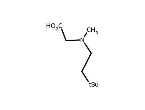 CN(CCC(C)(C)C)CC(=O)O